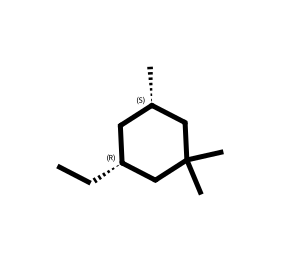 CC[C@@H]1C[C@H](C)CC(C)(C)C1